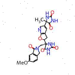 COc1ccc2c(c1)C(=O)N(C[C@@]1(C3Cc4cc(C5(C)NC(=O)NC5=O)cnc4O3)NC(=O)NC1=O)C2